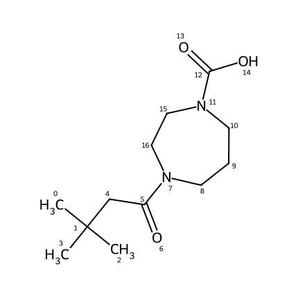 CC(C)(C)CC(=O)N1CCCN(C(=O)O)CC1